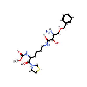 CC(C)(C)OC(=O)NC(CCCCNC(=O)C(O)C(N)COCc1ccccc1)C(=O)N1CCSC1